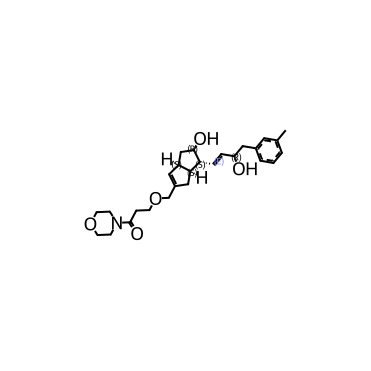 Cc1cccc(C[C@@H](O)/C=C/[C@@H]2[C@H]3CC(COCCC(=O)N4CCOCC4)=C[C@H]3C[C@H]2O)c1